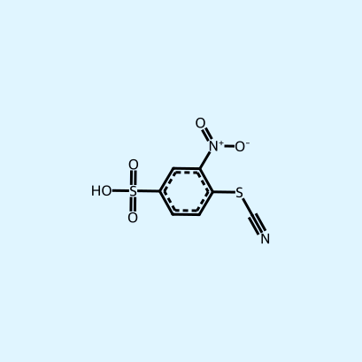 N#CSc1ccc(S(=O)(=O)O)cc1[N+](=O)[O-]